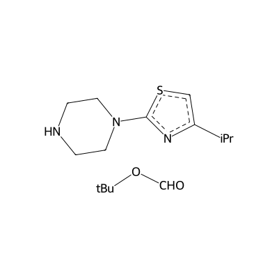 CC(C)(C)OC=O.CC(C)c1csc(N2CCNCC2)n1